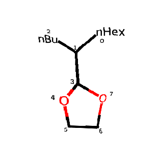 CCCCCCC(CCCC)C1OCCO1